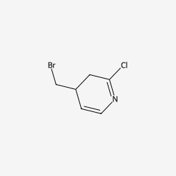 ClC1=NC=CC(CBr)C1